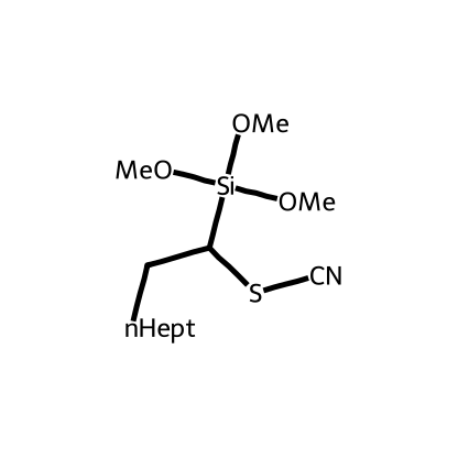 CCCCCCCCC(SC#N)[Si](OC)(OC)OC